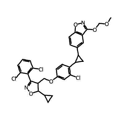 COCOc1noc2ccc(C3CC3c3ccc(OCC4C(c5c(Cl)cccc5Cl)=NOC4C4CC4)cc3Cl)cc12